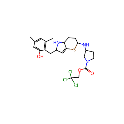 Cc1cc(C)c(CC2C=C3SC(NC4CCN(C(=O)OCC(Cl)(Cl)Cl)C4)CCC3N2)c(O)c1